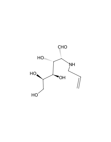 C=CCN[C@@H](C=O)[C@@H](O)[C@@H](O)[C@H](O)CO